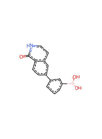 O=c1[nH]ccc2cc(-c3cccc(B(O)O)c3)ccc12